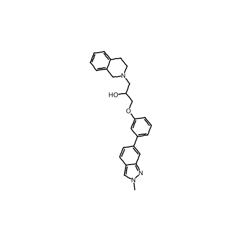 Cn1cc2ccc(-c3cccc(OCC(O)CN4CCc5ccccc5C4)c3)cc2n1